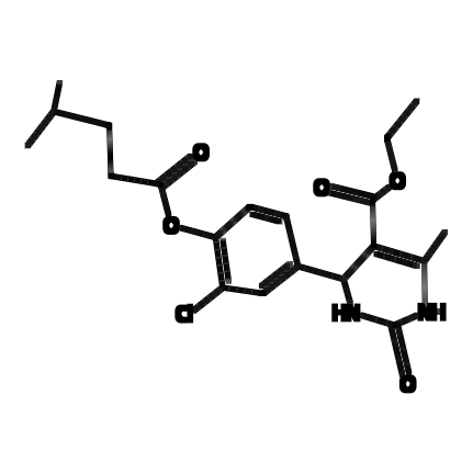 CCOC(=O)C1=C(C)NC(=O)NC1c1ccc(OC(=O)CCC(C)C)c(Cl)c1